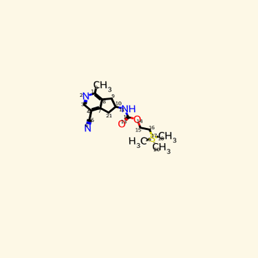 Cc1ncc(C#N)c2c1CC(NC(=O)OCCS(C)(C)C)C2